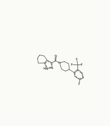 O=C(c1n[nH]c2c1CCCC2)N1CCC(c2cc(F)ccc2C(F)(F)F)CC1